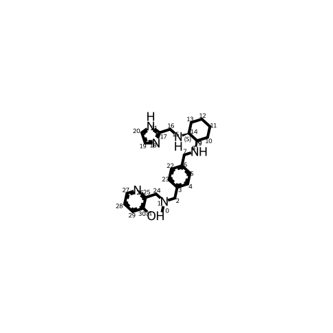 CN(Cc1ccc(CN[C@@H]2CCCC[C@@H]2NCc2ncc[nH]2)cc1)Cc1ncccc1O